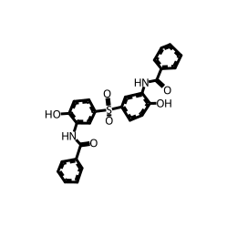 O=C(Nc1cc(S(=O)(=O)c2ccc(O)c(NC(=O)c3ccccc3)c2)ccc1O)c1ccccc1